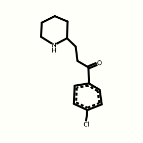 O=C(CCC1CCCCN1)c1ccc(Cl)cc1